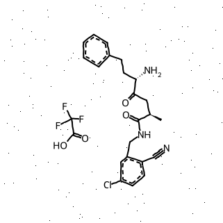 C[C@H](CC(=O)[C@@H](N)CCc1ccccc1)C(=O)NCc1cc(Cl)ccc1C#N.O=C(O)C(F)(F)F